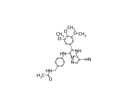 COc1cc(-c2[nH]c3c(C#N)cnn3c2Nc2ccc(CNC(C)=O)cc2)cc(OC)c1OC